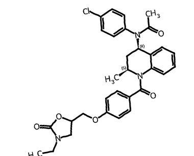 CCN1CC(COc2ccc(C(=O)N3c4ccccc4[C@H](N(C(C)=O)c4ccc(Cl)cc4)C[C@@H]3C)cc2)OC1=O